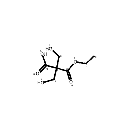 CCOC(=O)C(CO)(CO)C(=O)O